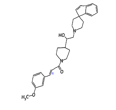 COc1cccc(/C=C/C(=O)N2CCC(C(O)CN3CCC4(C=Cc5ccccc54)CC3)CC2)c1